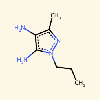 CCCn1nc(C)c(N)c1N